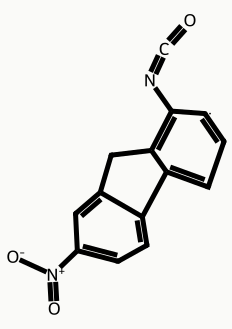 O=C=Nc1[c]ccc2c1Cc1cc([N+](=O)[O-])ccc1-2